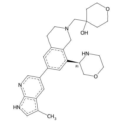 Cc1c[nH]c2ncc(-c3cc4c(c([C@@H]5COCCN5)c3)CN(CC3(O)CCOCC3)CC4)cc12